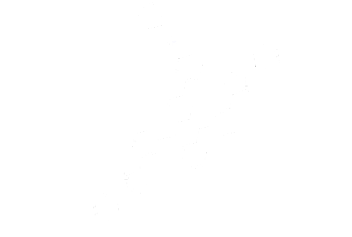 C(=C\c1cccc(-c2ccc3c(-c4cccc(-c5ccc(-c6ccccc6)s5)c4)c4ccccc4c(-c4cccc(-c5ccc(-c6ccccc6)s5)c4)c3c2)c1)/c1ccccc1